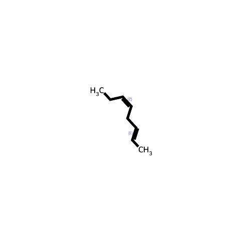 C/C=C/C/C=C\CC